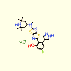 CN(c1nc2sc(-c3c(O)cc(F)cc3-c3cn[nH]c3)nc2s1)C1CC(C)(C)NC(C)(C)C1.Cl